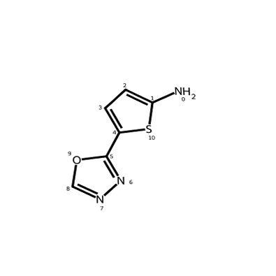 Nc1ccc(-c2nnco2)s1